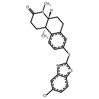 CN1C(=O)CC[C@]2(C)c3ccc(Sc4nc5cc(Cl)ccc5s4)cc3CC[C@@H]12